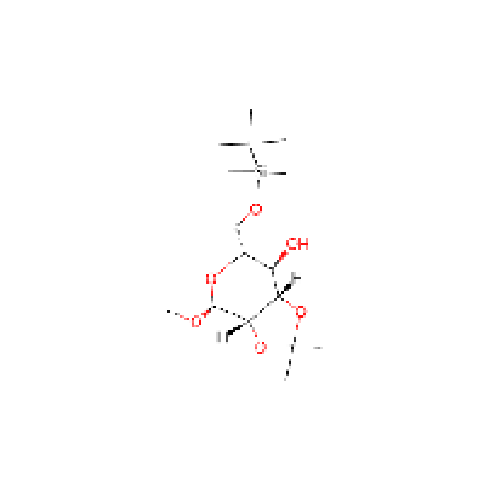 CO[C@H]1O[C@H](CO[Si](C)(C)C(C)(C)C)[C@@H](O)[C@@H]2OC(C)(C)O[C@H]12